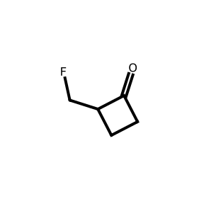 O=C1CCC1CF